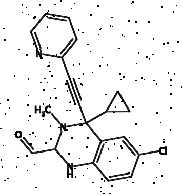 CN1C(C=O)Nc2ccc(Cl)cc2C1(C#Cc1ccccn1)C1CC1